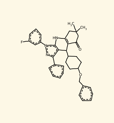 CC1(C)CC(=O)C2=C(C1)Nc1c(c(-c3ccccc3)nn1-c1cccc(F)c1)C2C1CCC(OCc2ccccc2)CC1